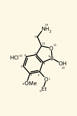 CCOc1c(OC)ccc2c1B(O)OC2CN.Cl